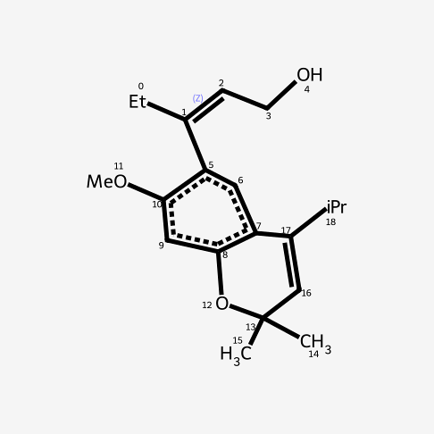 CC/C(=C/CO)c1cc2c(cc1OC)OC(C)(C)C=C2C(C)C